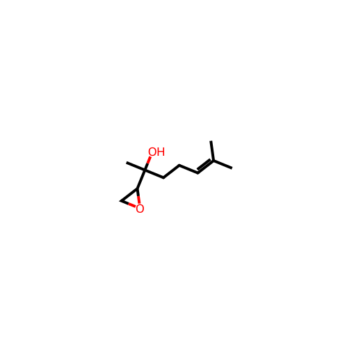 CC(C)=CCCC(C)(O)C1CO1